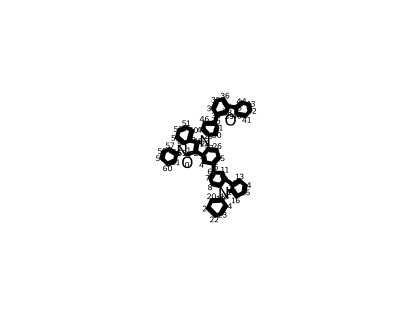 O=c1c2c3cc(-c4ccc5c(c4)c4ccccc4n5-c4ccccc4)ccc3n(-c3ccc(-c4cccc5c4oc4ccccc45)cc3)c2c2ccccc2n1-c1ccccc1